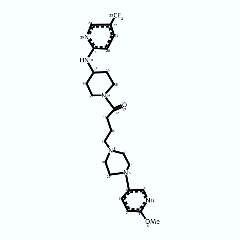 COc1ccc(N2CCN(CCCC(=O)N3CCC(Nc4ccc(C(F)(F)F)cn4)CC3)CC2)cn1